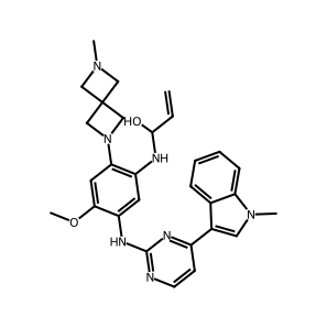 C=CC(O)Nc1cc(Nc2nccc(-c3cn(C)c4ccccc34)n2)c(OC)cc1N1CC2(CN(C)C2)C1